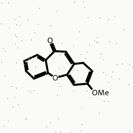 COC1=CCC2=CC(=O)c3ccccc3OC2=C1